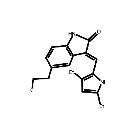 CCc1cc(CC)c(C=C2C(=O)Nc3ccc(CCCl)cc32)[nH]1